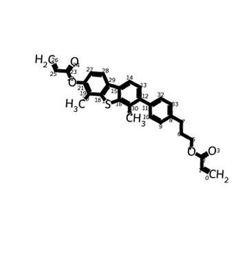 C=CC(=O)OCCCc1ccc(-c2ccc3c(sc4c(C)c(OC(=O)C=C)ccc43)c2C)cc1